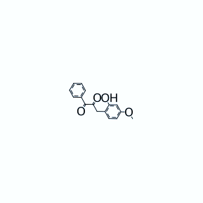 COc1ccc(CC(=O)C(=O)c2ccccc2)c(O)c1